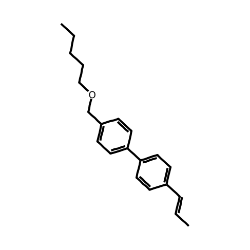 CC=Cc1ccc(-c2ccc(COCCCCC)cc2)cc1